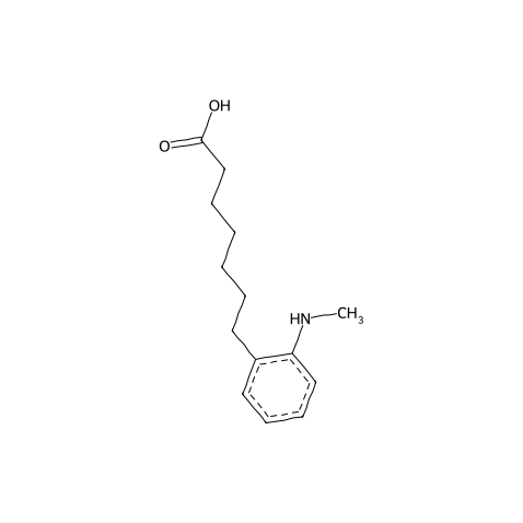 CNc1ccccc1CCCCCCC(=O)O